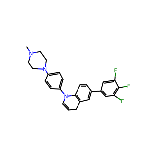 CN1CCN(c2ccc(N3C=CCc4cc(-c5cc(F)c(F)c(F)c5)ccc43)cc2)CC1